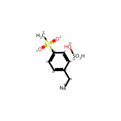 CS(=O)(=O)c1ccc([CH2][Na])cc1.O=S(=O)(O)O